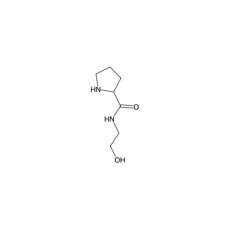 O=C(NCCO)C1CCCN1